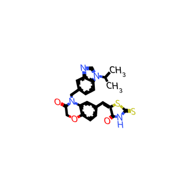 CC(C)n1cnc2cc(CN3C(=O)COc4ccc(C=C5SC(=S)NC5=O)cc43)ccc21